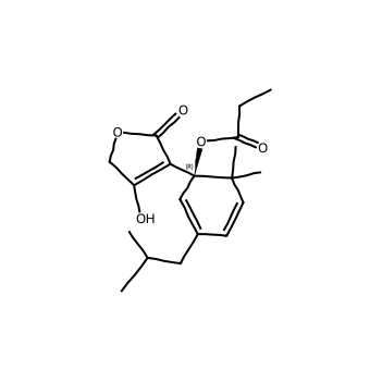 CCC(=O)O[C@]1(C2=C(O)COC2=O)C=C(CC(C)C)C=CC1(C)C